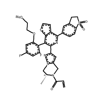 C=CC(=O)N1Cc2cc(-c3nc(-c4ccc5c(c4)CCS5(=O)=O)c4ccsc4c3-c3c(F)cc(F)cc3OCCOC)nn2C[C@H]1C